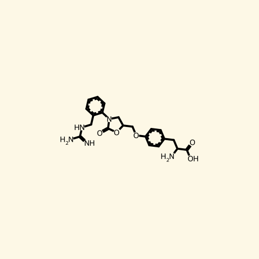 N=C(N)NCc1ccccc1N1CC(COc2ccc(CC(N)C(=O)O)cc2)OC1=O